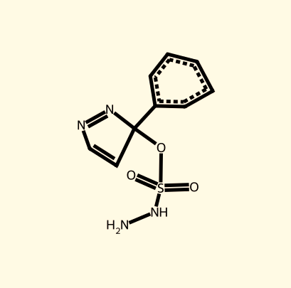 NNS(=O)(=O)OC1(c2ccccc2)C=CN=N1